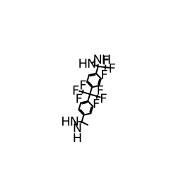 CC1(c2ccc(C(c3ccc(C4(C(F)(F)F)NN4)cc3)(C(F)(F)F)C(F)(F)F)cc2)NN1